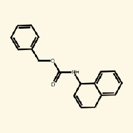 O=C(NC1C=C[CH]c2ccccc21)OCc1ccccc1